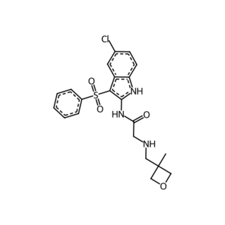 CC1(CNCC(=O)Nc2[nH]c3ccc(Cl)cc3c2S(=O)(=O)c2ccccc2)COC1